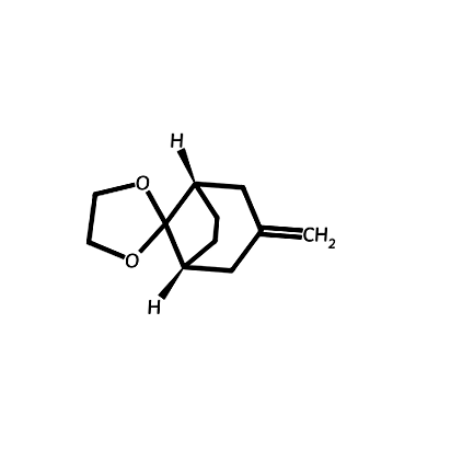 C=C1C[C@H]2CC[C@@H](C1)C21OCCO1